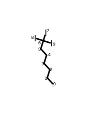 [CH2]CCCCCC(I)(I)I